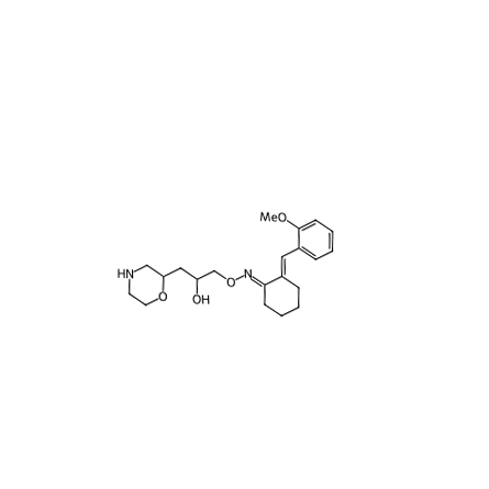 COc1ccccc1/C=C1\CCCC\C1=N/OCC(O)CC1CNCCO1